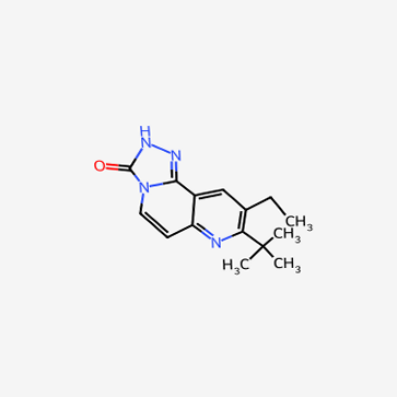 CCc1cc2c(ccn3c(=O)[nH]nc23)nc1C(C)(C)C